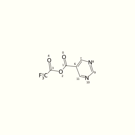 O=C(OC(=O)C(F)(F)F)c1cncnc1